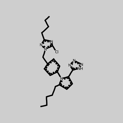 CCCCCc1ccc(-c2nnn[nH]2)n1-c1ccc(Cn2nc(CCCC)nc2Cl)cc1